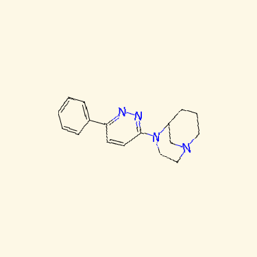 c1ccc(-c2ccc(N3CCN4CCCC3C4)nn2)cc1